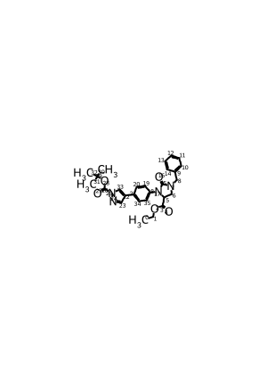 CCOC(=O)C1CN(Cc2ccccc2)C(=O)N1c1ccc(-c2cnn(C(=O)OC(C)(C)C)c2)cc1